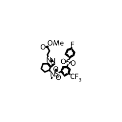 COC(=O)CCn1ncc2c1CCCC2N(C)S(=O)(=O)c1cc(C(F)(F)F)cc(S(=O)(=O)c2ccc(F)cc2)c1